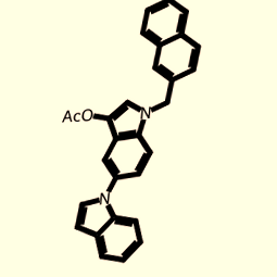 CC(=O)Oc1cn(Cc2ccc3ccccc3c2)c2ccc(-n3ccc4ccccc43)cc12